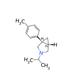 Cc1ccc([C@@]23C[C@@H]2CN(C(C)C)C3)cc1